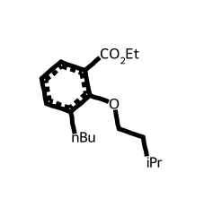 CCCCc1cccc(C(=O)OCC)c1OCCC(C)C